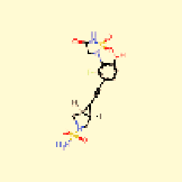 NS(=O)(=O)N1C[C@@H]2C(C#Cc3ccc(O)c(N4CC(=O)NS4(=O)=O)c3F)[C@@H]2C1